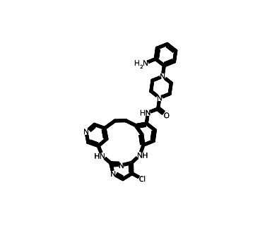 Nc1ccccc1N1CCN(C(=O)Nc2ccc3cc2CCc2cncc(c2)Nc2ncc(Cl)c(n2)N3)CC1